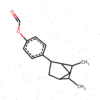 CC1C2CC(c3ccc(OC=O)cc3)C(C2)C1C